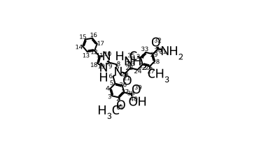 COc1ccc(CN(Cc2nc(-c3ccccc3)c[nH]2)C(=O)[C@@H](N)Cc2c(C)cc(C(N)=O)cc2C)cc1C(=O)O